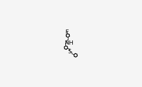 Fc1ccc(CCNCc2cccc(CSCCc3ccccc3)c2)cc1